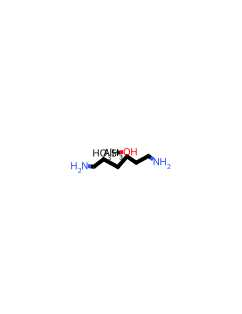 NCCCCCCN.O=S(=O)(O)O.[AlH3]